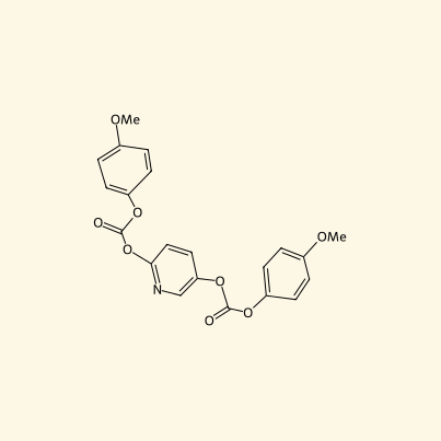 COc1ccc(OC(=O)Oc2ccc(OC(=O)Oc3ccc(OC)cc3)nc2)cc1